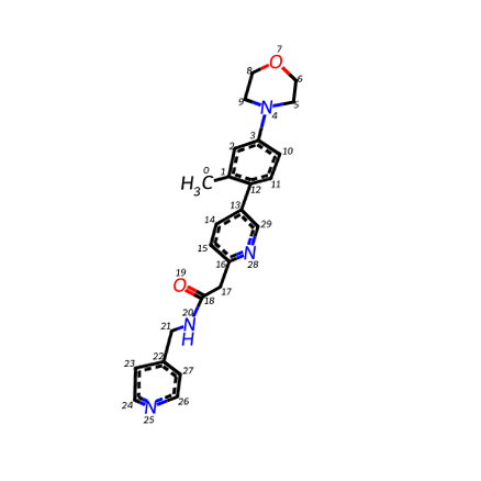 Cc1cc(N2CCOCC2)ccc1-c1ccc(CC(=O)NCc2ccncc2)nc1